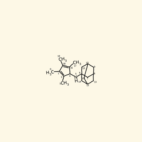 CC1=C(C)C(NC23CC4CC(CC(C4)C2)C3)C(C)=C1C